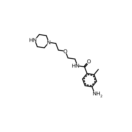 Cc1cc(N)ccc1C(=O)NCCOCCN1CCNCC1